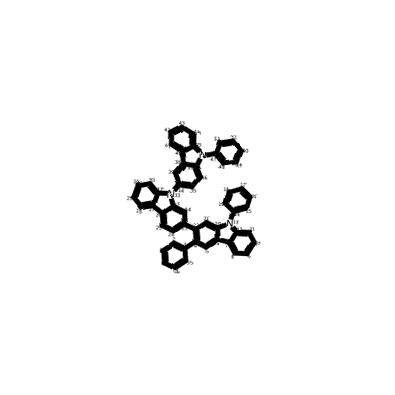 c1ccc(-c2cc3c4ccccc4n(-c4ccccc4)c3cc2-c2ccc3c4ccccc4n(-c4ccc5c(c4)c4ccccc4n5-c4ccccc4)c3c2)cc1